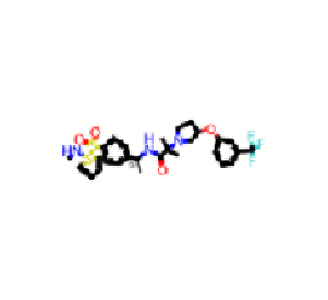 CNS1(S(=O)(=O)c2ccc([C@H](C)NC(=O)C(C)(C)N3CCC(Oc4cccc(C(F)(F)F)c4)C3)cc2)C=CC=C1